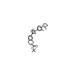 Cc1cc(-c2nc(-c3ccc4c(c3)CN(C(=O)OC(C)(C)C)CC4)no2)cnc1N1CCCC1C